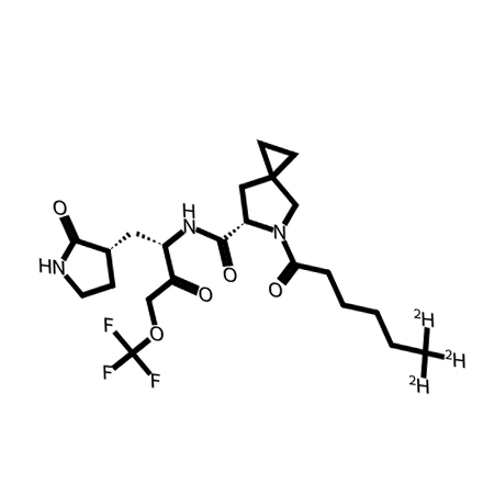 [2H]C([2H])([2H])CCCCC(=O)N1CC2(CC2)C[C@H]1C(=O)N[C@@H](C[C@@H]1CCNC1=O)C(=O)COC(F)(F)F